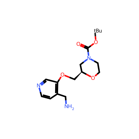 CC(C)(C)OC(=O)N1CCO[C@@H](COc2cnccc2CN)C1